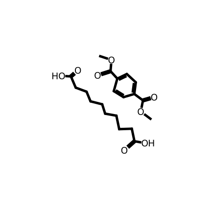 COC(=O)c1ccc(C(=O)OC)cc1.O=C(O)CCCCCCCCC(=O)O